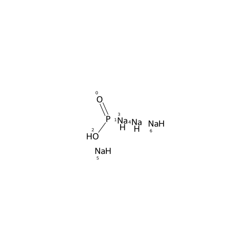 O=PO.[NaH].[NaH].[NaH].[NaH]